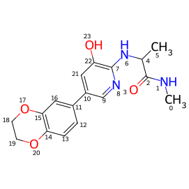 CNC(=O)C(C)Nc1ncc(-c2ccc3c(c2)OCCO3)cc1O